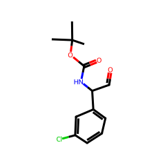 CC(C)(C)OC(=O)NC(C=O)c1cccc(Cl)c1